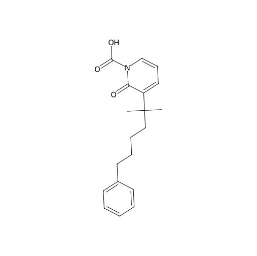 CC(C)(CCCCc1ccccc1)c1cccn(C(=O)O)c1=O